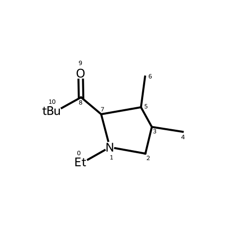 CCN1CC(C)C(C)C1C(=O)C(C)(C)C